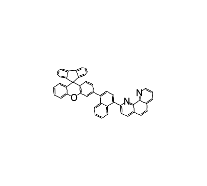 c1ccc2c(c1)Oc1cc(-c3ccc(-c4ccc5ccc6cccnc6c5n4)c4ccccc34)ccc1C21c2ccccc2-c2ccccc21